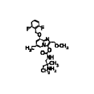 CCC(C)(N)CNC(=O)Oc1c(COC)nc2c(OCc3c(F)cccc3F)cc(C)cn12